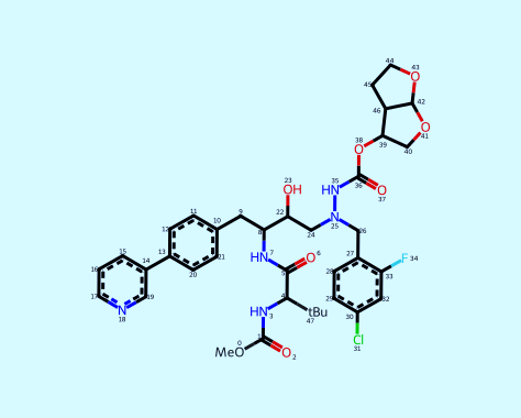 COC(=O)NC(C(=O)NC(Cc1ccc(-c2cccnc2)cc1)C(O)CN(Cc1ccc(Cl)cc1F)NC(=O)OC1COC2OCCC12)C(C)(C)C